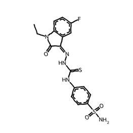 CCN1C(=O)C(=NNC(=S)Nc2ccc(S(N)(=O)=O)cc2)c2cc(F)ccc21